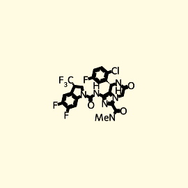 CNC(=O)c1nc(NC(=O)N2C[C@H](C(F)(F)F)c3cc(F)c(F)cc32)c2n1CC(=O)N[C@H]2c1cc(F)ccc1Cl